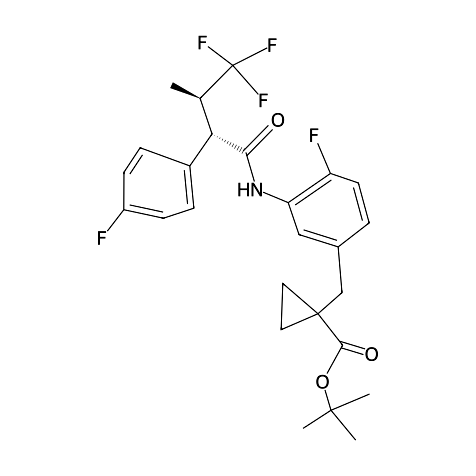 C[C@H]([C@H](C(=O)Nc1cc(CC2(C(=O)OC(C)(C)C)CC2)ccc1F)c1ccc(F)cc1)C(F)(F)F